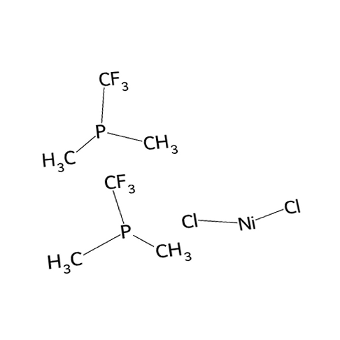 CP(C)C(F)(F)F.CP(C)C(F)(F)F.[Cl][Ni][Cl]